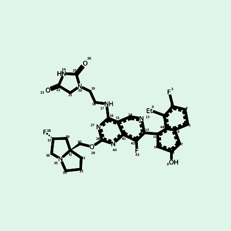 CCc1c(F)ccc2cc(O)cc(-c3ncc4c(NCCN5CC(=O)NC5=O)nc(OC[C@@]56CCCN5C[C@H](F)C6)nc4c3F)c12